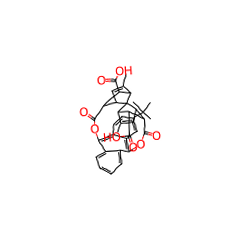 CC1=CC2C3C(=O)Oc4c5ccccc5c(c5cc(C(C)(C)C)ccc45)OC(=O)C4C(C(=O)O)C5C(C)=CC4C25C1C3C(=O)O